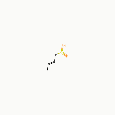 C/C=C/CS(#P)=P